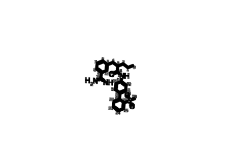 CCCC(Cc1cccc(C(=N)N)c1)C(=O)Nc1ccc(-c2ccccc2S(C)(=O)=O)cc1